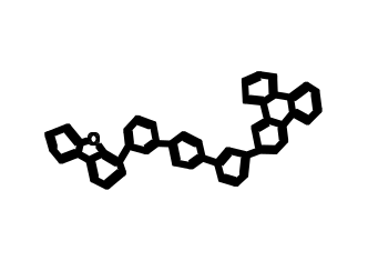 c1cc(-c2ccc(-c3cccc(-c4cccc5c4oc4ccccc45)c3)cc2)cc(-c2ccc3c4ccccc4c4ccccc4c3c2)c1